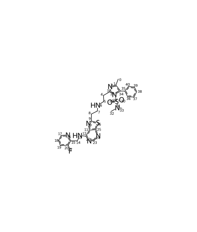 Cc1nc(CCNCCc2nc3c(NCc4ncccc4F)ncnc3s2)n(S(=O)(=O)N(C)C)c1-c1ccccc1